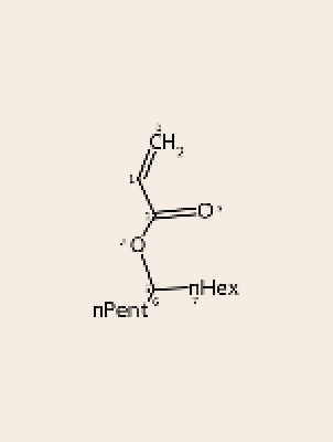 C=CC(=O)OC(CCCCC)CCCCCC